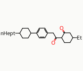 CCCCCCCC1CCC(c2ccc(CC(=O)C3CCC(CC)CC3=O)cc2)CC1